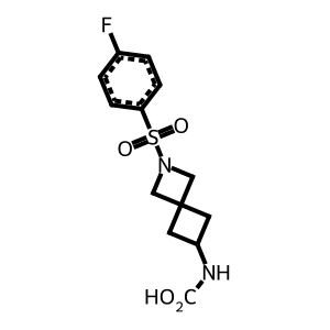 O=C(O)NC1CC2(C1)CN(S(=O)(=O)c1ccc(F)cc1)C2